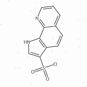 O=S(=O)(Cl)c1c[nH]c2c1ccc1cccnc12